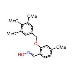 COc1ccc(C=NO)c(OCc2cc(OC)c(OC)c(OC)c2)c1